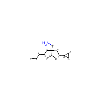 CCCCCC(CN)(CCC1CC1)C(C)C